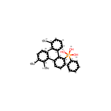 CC(C)(C)c1cccc(-c2cccc(P(O)(O)(O)c3ccccc3)c2-c2cccc(C(C)(C)C)c2C(C)(C)C)c1C(C)(C)C